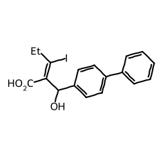 CCC(I)=C(C(=O)O)C(O)c1ccc(-c2ccccc2)cc1